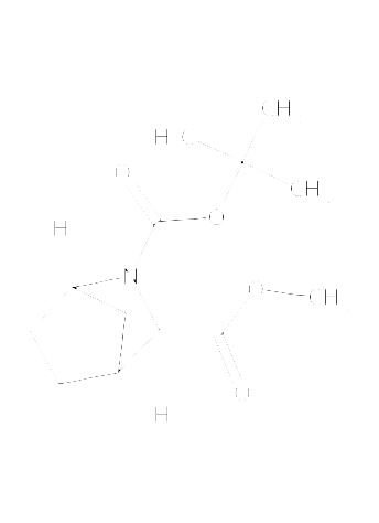 COC(=O)[C@@H]1[C@H]2CC[C@H](C2)N1C(=O)OC(C)(C)C